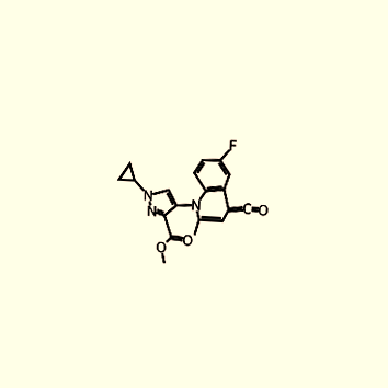 COC(=O)c1nn(C2CC2)cc1N1C(C)=CC(=C=O)c2cc(F)ccc21